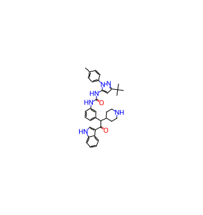 Cc1ccc(-n2nc(C(C)(C)C)cc2NC(=O)Nc2cccc(C(C(=O)c3c[nH]c4ccccc34)C3CCNCC3)c2)cc1